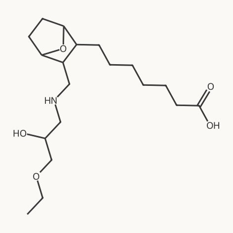 CCOCC(O)CNCC1C2CCC(O2)C1CCCCCCC(=O)O